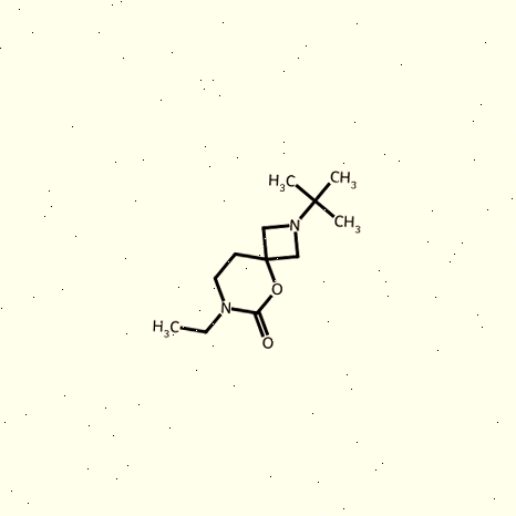 CCN1CCC2(CN(C(C)(C)C)C2)OC1=O